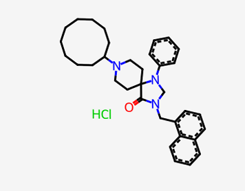 Cl.O=C1N(Cc2cccc3ccccc23)CN(c2ccccc2)C12CCN(C1CCCCCCCCC1)CC2